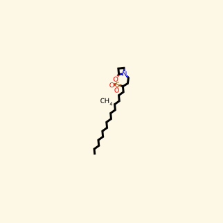 C.CCCCCCCCCCCCCCCC1CCN2CCC2OS1(=O)=O